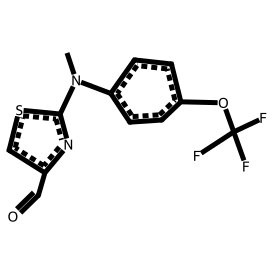 CN(c1ccc(OC(F)(F)F)cc1)c1nc(C=O)cs1